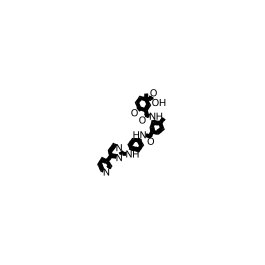 Cc1ccc(C(=O)Nc2ccc(Nc3nccc(-c4cccnc4)n3)cc2)cc1NC(=O)C1=CC(C)(C(=O)O)CCC1=O